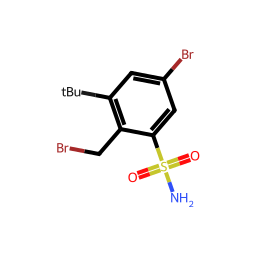 CC(C)(C)c1cc(Br)cc(S(N)(=O)=O)c1CBr